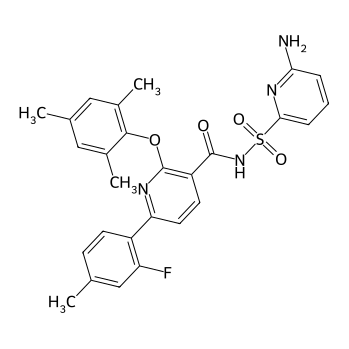 Cc1cc(C)c(Oc2nc(-c3ccc(C)cc3F)ccc2C(=O)NS(=O)(=O)c2cccc(N)n2)c(C)c1